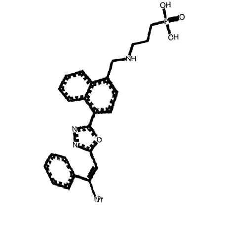 CCCC(=Cc1nnc(-c2ccc(CNCCCP(=O)(O)O)c3ccccc23)o1)c1ccccc1